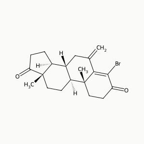 C=C1C[C@@H]2[C@H](CC[C@]3(C)C(=O)CC[C@@H]23)[C@@]2(C)CCC(=O)C(Br)=C12